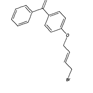 O=C(c1ccccc1)c1ccc(OC/C=C/CBr)cc1